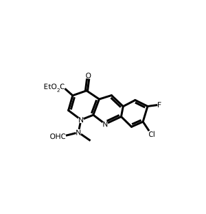 CCOC(=O)c1cn(N(C)C=O)c2nc3cc(Cl)c(F)cc3cc2c1=O